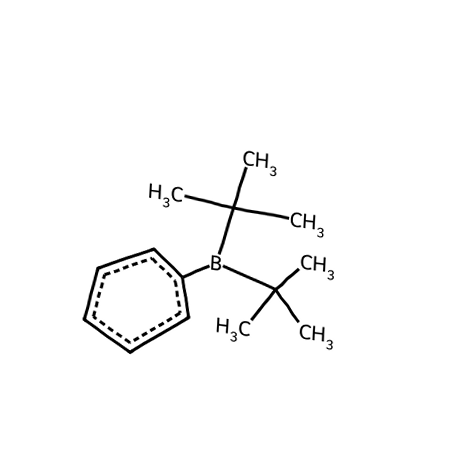 CC(C)(C)B(c1ccccc1)C(C)(C)C